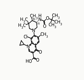 Cc1cc2c(=O)c(C(=O)O)cn(C3CC3)c2c(Cl)c1N1C[C@@H](NC(=O)OC(C)(C)C)[C@H](C)C(C)(C)C1